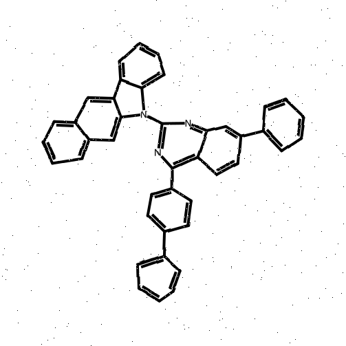 c1ccc(-c2ccc(-c3nc(-n4c5ccccc5c5cc6ccccc6cc54)nc4cc(-c5ccccc5)ccc34)cc2)cc1